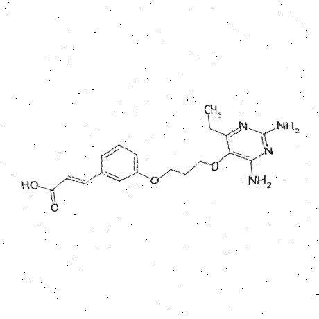 CCc1nc(N)nc(N)c1OCCCOc1cccc(/C=C/C(=O)O)c1